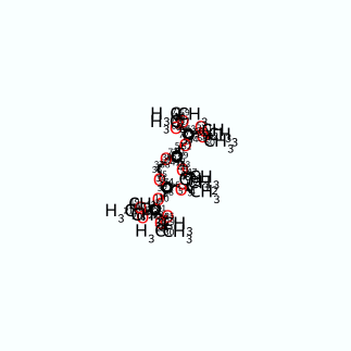 C=C/C(=C\C)OCc1cc(COc2cc(C(=O)OC(C)(C)C)cc(C(=O)OC(C)(C)C)c2)cc(OC/C=C\COc2cc(CO/C(C)=C/C)cc(COc3cc(C(=O)OC(C)(C)C)cc(C(=O)OC(C)(C)C)c3)c2)c1